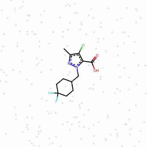 Cc1nn(CC2CCC(F)(F)CC2)c(C(=O)O)c1Cl